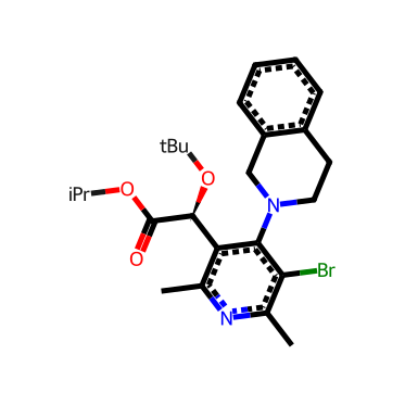 Cc1nc(C)c([C@H](OC(C)(C)C)C(=O)OC(C)C)c(N2CCc3ccccc3C2)c1Br